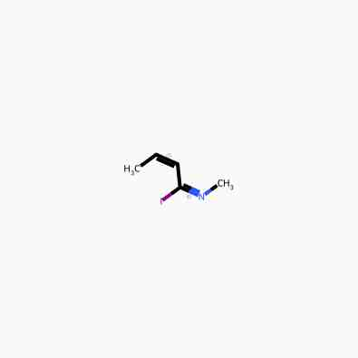 C/C=C\C(I)=N/C